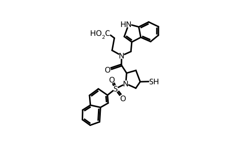 O=C(O)CCN(Cc1c[nH]c2ccccc12)C(=O)C1CC(S)CN1S(=O)(=O)c1ccc2ccccc2c1